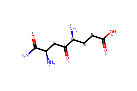 NC(=O)[C@H](N)CC(=O)[C@@H](N)CCC(=O)O